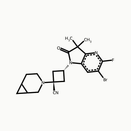 CC1(C)C(=O)N([C@H]2C[C@@](C#N)(N3CCC4CC4C3)C2)c2cc(Br)c(F)nc21